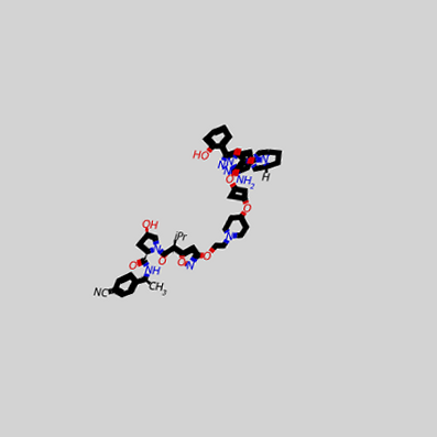 CC(C)[C@H](C(=O)N1C[C@H](O)C[C@H]1C(=O)N[C@@H](C)c1ccc(C#N)cc1)c1cc(OCCN2CCC(OC3CC(Oc4cc(N5C6CC[C@@H]5CN(c5cc(-c7ccccc7O)nnc5N)C6)ccn4)C3)CC2)no1